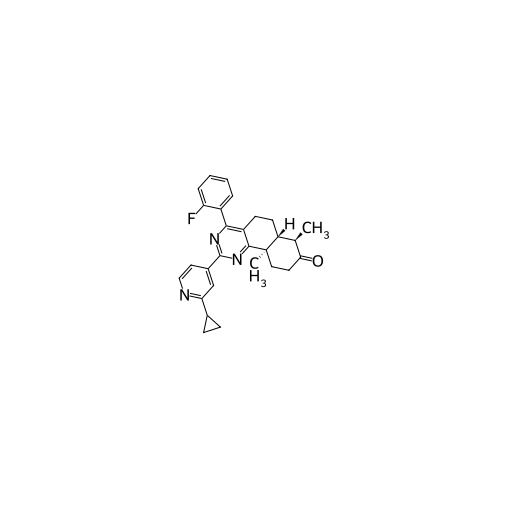 C[C@H]1C(=O)CC[C@@]2(C)c3nc(-c4ccnc(C5CC5)c4)nc(-c4ccccc4F)c3CC[C@H]12